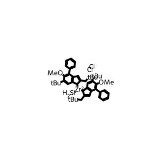 COc1c(C(C)(C)C)cc2c(c1-c1ccccc1)C=C(CC(C)(C)C)[CH]2[Zr+2](=[SiH2])[CH]1C(CC(C)(C)C)=Cc2c1cc(C(C)(C)C)c(OC)c2-c1ccccc1.[Cl-].[Cl-]